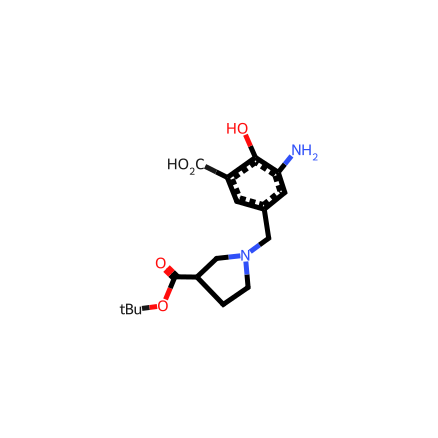 CC(C)(C)OC(=O)C1CCN(Cc2cc(N)c(O)c(C(=O)O)c2)C1